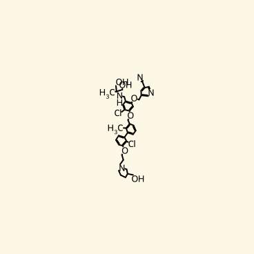 Cc1c(COc2cc(OCc3cncc(C#N)c3)c(CNC(C)(CO)CO)cc2Cl)cccc1-c1cccc(OCCCN2CCCC(CO)C2)c1Cl